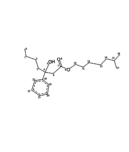 CCCCC(O)(CC(=O)OCCCCCC(C)C)c1ccccc1